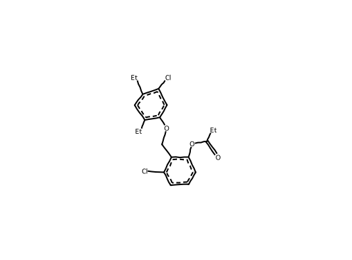 CCC(=O)Oc1cccc(Cl)c1COc1cc(Cl)c(CC)cc1CC